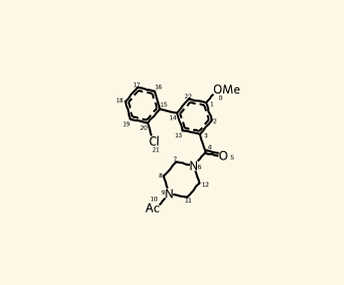 COc1cc(C(=O)N2CCN(C(C)=O)CC2)cc(-c2ccccc2Cl)c1